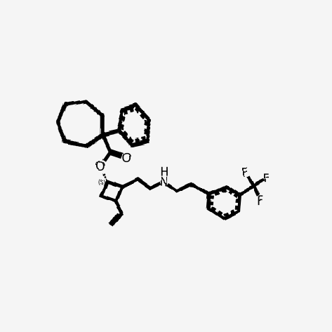 C=CC1C[C@H](OC(=O)C2(c3ccccc3)CCCCCC2)C1CCNCCc1cccc(C(F)(F)F)c1